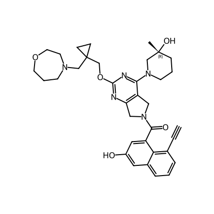 C#Cc1cccc2cc(O)cc(C(=O)N3Cc4nc(OCC5(CN6CCCOCC6)CC5)nc(N5CCC[C@@](C)(O)C5)c4C3)c12